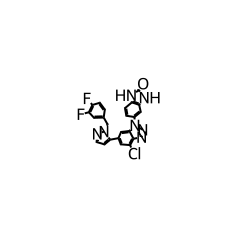 O=c1[nH]c2ccc(-n3nnc4c(Cl)cc(-c5ccnn5Cc5ccc(F)c(F)c5)cc43)cc2[nH]1